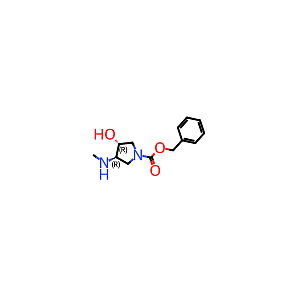 CN[C@@H]1CN(C(=O)OCc2ccccc2)C[C@H]1O